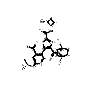 C[C@H](Nc1cc(C(F)F)c(-c2sc(C(=O)N[C@H]3CC[C@@H]3O)nc2C(=O)N2[C@H]3CC[C@@H]2CC3)cn1)C(F)(F)F